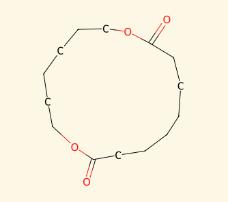 O=C1CCCCCCC(=O)OCCCCCCO1